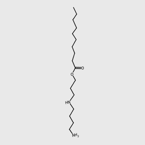 CCCCCCCCCC(=O)OCCCNCCCCN